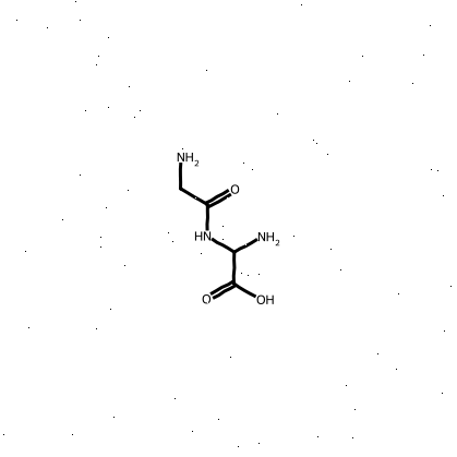 NCC(=O)NC(N)C(=O)O